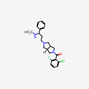 O=C(O)NC(CCN1CC2CN(C(=O)c3c(F)cccc3Cl)C[C@@H]2C1)c1ccccc1